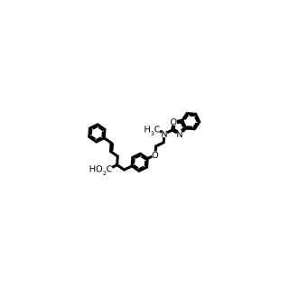 CN(CCOc1ccc(CC(CC=Cc2ccccc2)C(=O)O)cc1)c1nc2ccccc2o1